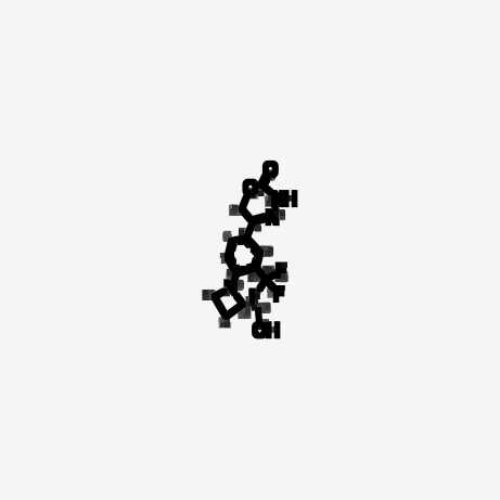 O=C1NN=C(c2ccc(N3CC[C@H]3CO)c(C(F)(F)F)c2)CO1